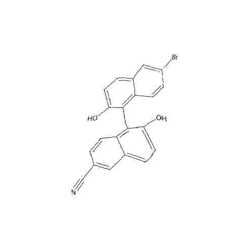 N#Cc1ccc2c(-c3c(O)ccc4cc(Br)ccc34)c(O)ccc2c1